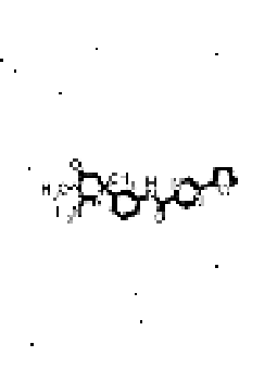 CN1C(=O)CC(C)(c2cccc(NC(=O)c3cnc(-c4ccco4)cn3)c2)N=C1N